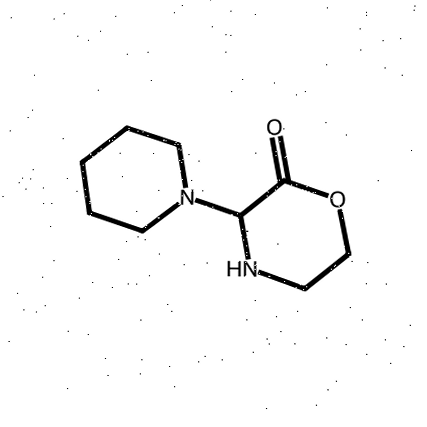 O=C1OCCNC1N1CCCCC1